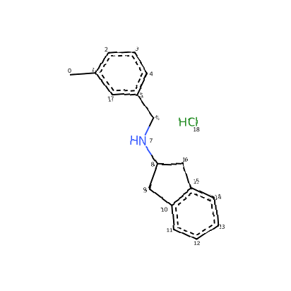 Cc1cccc(CNC2Cc3ccccc3C2)c1.Cl